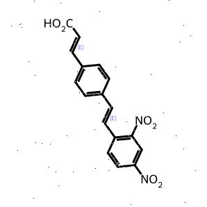 O=C(O)/C=C/c1ccc(/C=C/c2ccc([N+](=O)[O-])cc2[N+](=O)[O-])cc1